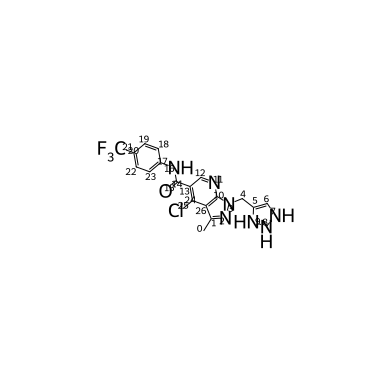 Cc1nn(CC2=CNNN2)c2ncc(C(=O)Nc3ccc(C(F)(F)F)cc3)c(Cl)c12